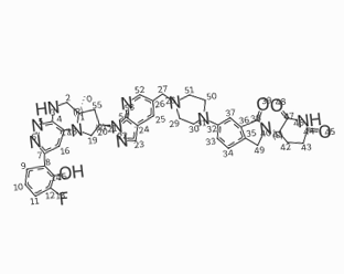 C[C@@]12CNc3nnc(-c4cccc(F)c4O)cc3N1C[C@H](n1ncc3cc(CN4CCN(c5ccc6c(c5)C(=O)N([C@H]5CCC(=O)NC5=O)C6)CC4)cnc31)C2